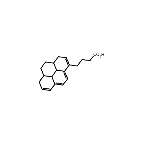 O=C(O)CCCC1=CCC2CCC3CC=CC4=CC=C1C2C43